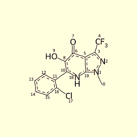 Cn1nc(C(F)(F)F)c2c(=O)c(O)c(-c3ccccc3Cl)[nH]c21